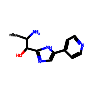 CCCCC(N)C(O)c1ncc(-c2ccncc2)[nH]1